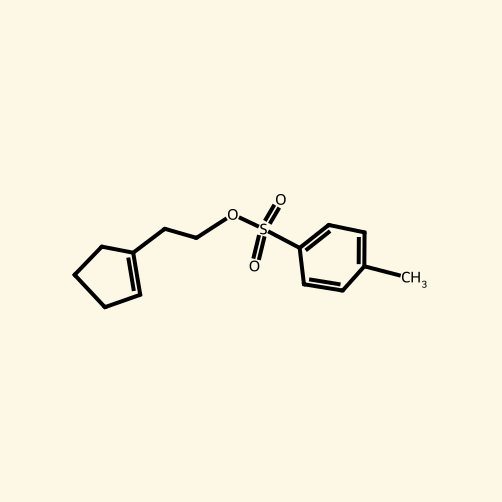 Cc1ccc(S(=O)(=O)OCCC2=CCCC2)cc1